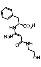 CC(=CC(=O)NCCO)N[C@@H](Cc1ccccc1)C(=O)O.[NaH]